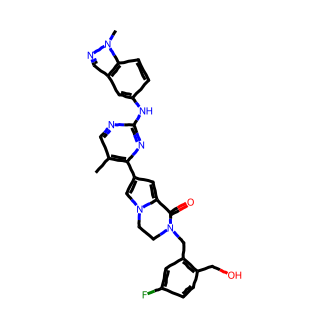 Cc1cnc(Nc2ccc3c(cnn3C)c2)nc1-c1cc2n(c1)CCN(Cc1cc(F)ccc1CO)C2=O